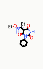 CCON/C(CC)=C1/C(=O)NC(=O)N(c2ccccc2)C1=O